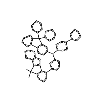 CC1(C)c2cccc(-c3cccc(N(c4ccc(-c5ccccc5)cc4)c4ccc5c(c4)C(c4ccccc4)(c4ccccc4)c4ccccc4-5)c3)c2-c2sc3ccccc3c21